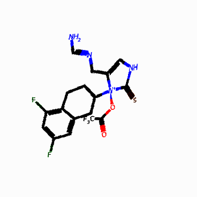 NC=NCC1=CNC(=S)[N@+]1(OC(=O)C(F)(F)F)C1CCc2c(F)cc(F)cc2C1